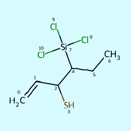 C=CC(S)C(CC)[Si](Cl)(Cl)Cl